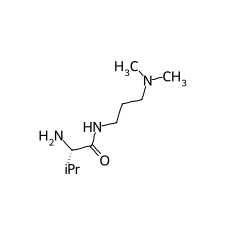 CC(C)[C@H](N)C(=O)NCCCN(C)C